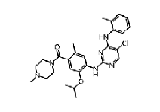 Cc1ccccc1Nc1nc(Nc2cc(C)c(C(=O)N3CCN(C)CC3)cc2OC(C)C)ncc1Cl